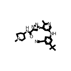 Cc1ncc(Nc2cc(C#N)cc(C(C)(C)C)c2)cc1-n1cc(C(=O)NC2CCN(C)CC2)nn1